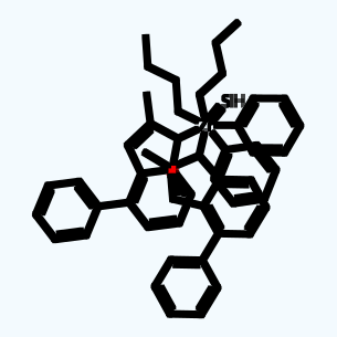 CCC[CH2][Zr](=[SiH2])([CH2]CCC)([c]1ccccc1)([c]1ccccc1)([CH]1C(C)=Cc2c(-c3ccccc3)cccc21)[CH]1C(C)=Cc2c(-c3ccccc3)cccc21